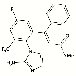 CNC(=O)/C=C(\c1ccccc1)c1cc(F)cc(C(F)(F)F)c1-n1ccnc1N